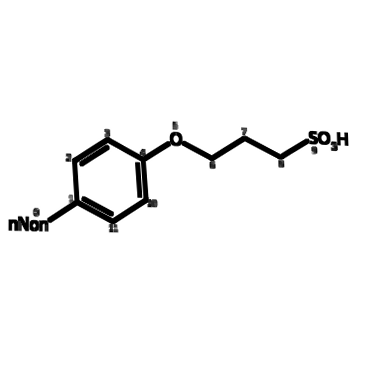 CCCCCCCCCc1ccc(OCCCS(=O)(=O)O)cc1